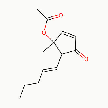 CCCC=CC1C(=O)C=CC1(C)OC(C)=O